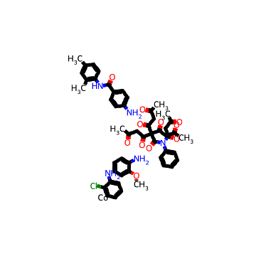 CC(=O)CC(=O)N(C(=O)C(C(=O)CC(C)=O)(C(=O)CC(C)=O)C(=O)CC(C)=O)c1ccccc1.COc1ccccc1N.Cc1ccc(NC(=O)c2ccc(N)cc2)c(C)c1.Nc1ccccc1Cl.[Co]